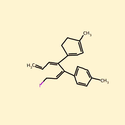 C=C/C=C(C1=CC=C(C)CC1)\C(=C/CI)c1ccc(C)cc1